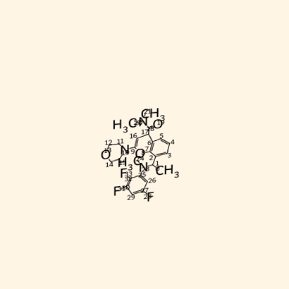 CC(c1cccc2c1OC(N1CCOCC1)=CC2C(=O)N(C)C)N(C)c1cc(F)cc(F)c1F